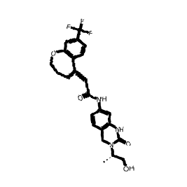 C[C@@H](CO)N1Cc2ccc(NC(=O)/C=C3\CCCOc4cc(C(F)(F)F)ccc43)cc2NC1=O